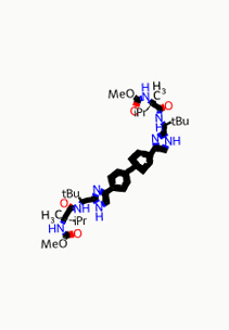 COC(=O)N[C@@](C)(C(=O)N[C@H](c1nc(-c2ccc(-c3ccc(-c4c[nH]c([C@@H](NC(=O)[C@](C)(NC(=O)OC)C(C)C)C(C)(C)C)n4)cc3)cc2)c[nH]1)C(C)(C)C)C(C)C